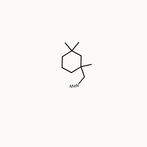 CNCC1(C)CCCC(C)(C)C1